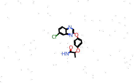 CC(Oc1ccc(Oc2cnc3ccc(Cl)cc3n2)cc1)C([NH])=O